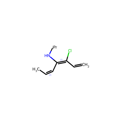 C=C/C(Cl)=C(\C=C/C)NC(C)C